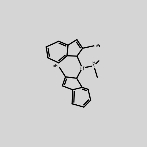 CCCC1=Cc2ccccc2[CH]1[Hf]([CH]1C(CCC)=Cc2ccccc21)[SiH](C)C